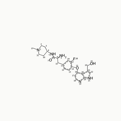 CN1CCC(NC(=O)[C@@H](N)Cc2ccc(Oc3ccnc4[nH]cc(CO)c34)c(F)c2)CC1